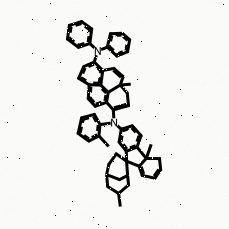 Cc1ccccc1N(C1=CCC2(C)C=Cc3c(N(c4ccccc4)c4ccccc4)ccc4ccc1c2c34)c1ccc2c(c1)C1(CCC3CC(C)CC1C3)C1=CC=CCC12C